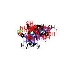 CN[C@H](CC(C)C)C(=O)N[C@H]1C(=O)N[C@@H](CC(N)=O)C(=O)N[C@H]2C(=O)N[C@H]3C(=O)N[C@H](C(=O)N[C@@H](C(=O)NOC)c4cc(O)cc(O)c4-c4cc3ccc4O)[C@H](O)c3ccc(c(Cl)c3)Oc3cc2cc(c3O[C@@H]2O[C@H](CO)[C@@H](O)[C@H](O)[C@H]2O[C@H]2C[C@](C)(NCCN3CCN(NC(=O)Nc4ccc(OC(F)(F)F)cc4)CC3)[C@H](O)[C@H](C)O2)Oc2ccc(cc2Cl)[C@H]1O